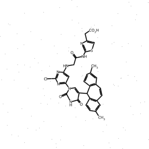 Cc1ccc2c(c1)C=Cc1cc(C)ccc1C2c1cn(-c2cc(NCC(=O)Nc3nc(CC(=O)O)cs3)nc(Cl)n2)c(=O)[nH]c1=O